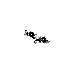 O=C(NCc1cccc(OC(F)(F)F)c1)c1cn2cc(Br)ccc2n1